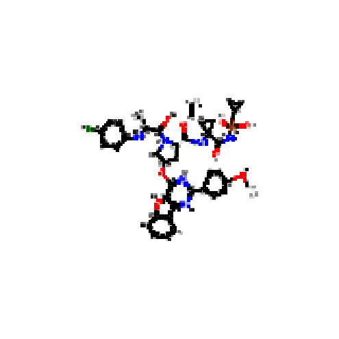 C=C[C@@H]1C[C@]1(NC(=O)[C@@H]1C[C@@H](Oc2nc(-c3ccc(OC(F)(F)F)cc3)nc3c2oc2ccccc23)CN1C(=O)[C@@H](Nc1ccc(F)cc1)C(C)(C)C)C(=O)NS(=O)(=O)C1CC1